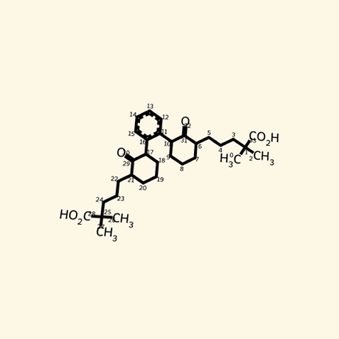 CC(C)(CCCC1CCCC(c2ccccc2C2CCCC(CCCC(C)(C)C(=O)O)C2=O)C1=O)C(=O)O